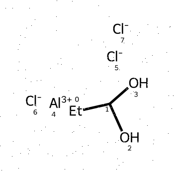 CCC(O)O.[Al+3].[Cl-].[Cl-].[Cl-]